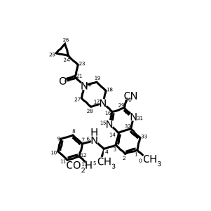 Cc1cc([C@@H](C)Nc2ccccc2C(=O)O)c2nc(N3CCN(C(=O)CC4CC4)CC3)c(C#N)nc2c1